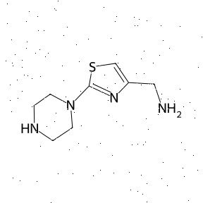 NCc1csc(N2CCNCC2)n1